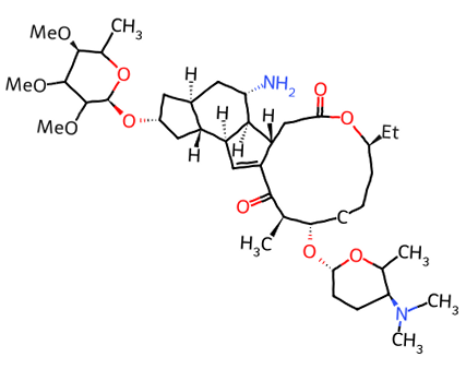 CC[C@H]1CCC[C@H](O[C@H]2CC[C@H](N(C)C)C(C)O2)[C@@H](C)C(=O)C2=C[C@H]3[C@@H]4C[C@H](O[C@@H]5OC(C)[C@H](OC)C(OC)C5OC)C[C@H]4C[C@H](N)[C@H]3[C@@H]2CC(=O)O1